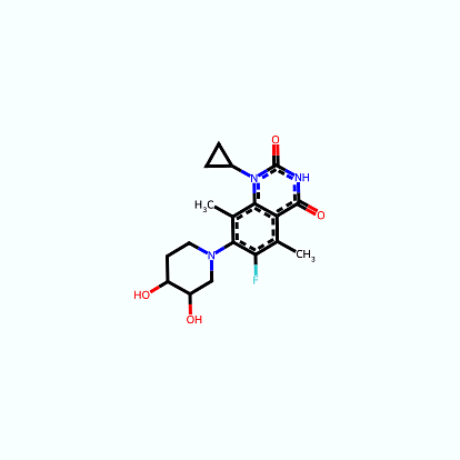 Cc1c(F)c(N2CCC(O)C(O)C2)c(C)c2c1c(=O)[nH]c(=O)n2C1CC1